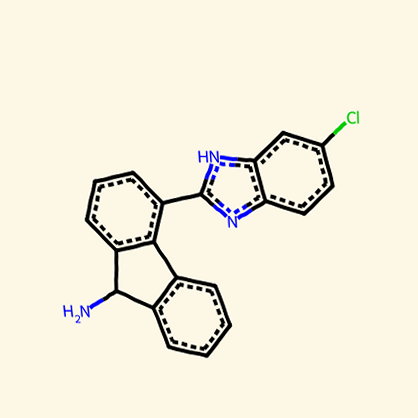 NC1c2ccccc2-c2c(-c3nc4ccc(Cl)cc4[nH]3)cccc21